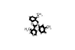 COc1ccccc1CN(C(=O)c1ccncc1C)c1ccc(F)c(C)c1